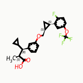 C[C@H](C(=O)O)[C@H](c1cccc(OC[C@H]2C[C@@H]2c2cc(OC(F)(F)F)ccc2F)c1)C1CC1